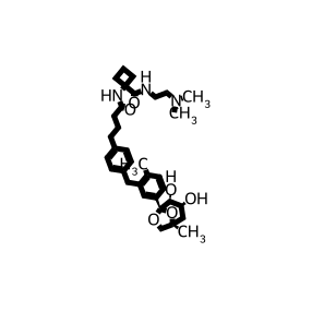 Cc1ccc([C@@]23OC[C@@](C)(C[C@H](O)[C@H]2O)O3)cc1Cc1ccc(CCCC(=O)NC2(C(=O)NCCN(C)C)CCC2)cc1